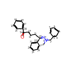 CN(Cc1ccccc1)N=C(CCCC(=O)c1ccccc1)c1ccccc1